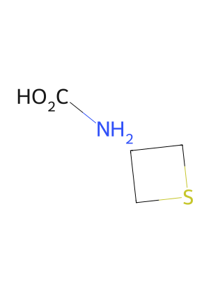 C1CSC1.NC(=O)O